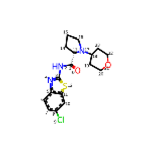 O=C(Nc1nc2ccc(Cl)cc2s1)[C@@H]1CCCN1C1CCOCC1